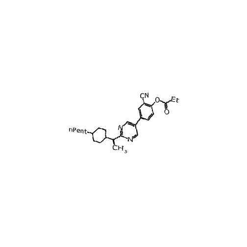 CCCCCC1CCC(C(C)c2ncc(-c3ccc(OC(=O)CC)c(C#N)c3)cn2)CC1